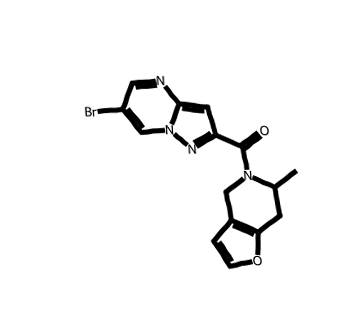 CC1Cc2occc2CN1C(=O)c1cc2ncc(Br)cn2n1